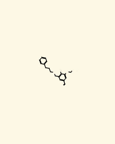 CCOc1cc(C=O)cc(CSCCCc2ccccc2)c1O